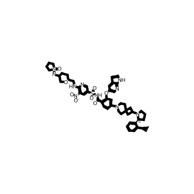 O=C(NS(=O)(=O)c1cnc(NCC2CCC(N=S3(=O)CCCC3)CO2)c([N+](=O)[O-])c1)c1ccc(N2CCC3(CC2)CC(N2CCC[C@H]2c2ccccc2C2CC2)C3)cc1Oc1cnc2[nH]ccc2c1